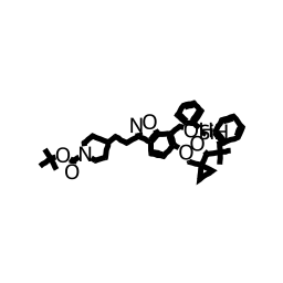 CC(C)(C)OC(=O)N1CCC(CCc2noc3c(CO)c(OCC4(C(O[SiH](c5ccccc5)c5ccccc5)C(C)(C)C)CC4)ccc23)CC1